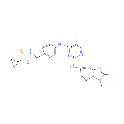 Cc1cnc(Nc2ccc3c(c2)nc(C)n3C)nc1Nc1ccc(CNS(=O)(=O)C2CC2)cc1